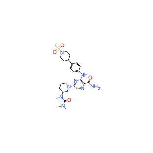 CN(C)C(=O)N(C)[C@H]1CCCN(c2cnc(C(N)=O)c(Nc3ccc(C4CCN(S(C)(=O)=O)CC4)cc3)n2)C1